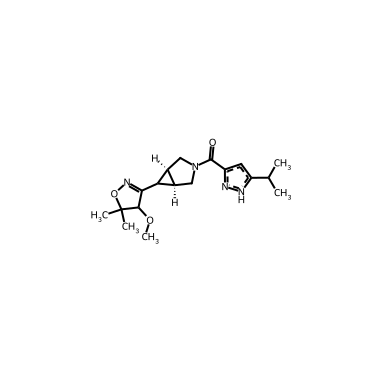 COC1C(C2[C@H]3CN(C(=O)c4cc(C(C)C)[nH]n4)C[C@@H]23)=NOC1(C)C